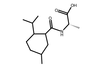 CC1CCC(C(C)C)C(C(=O)N[C@@H](C)C(=O)O)C1